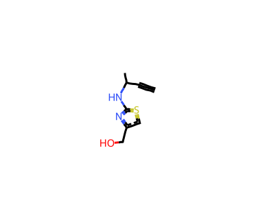 C#CC(C)Nc1nc(CO)cs1